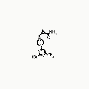 CC(C)(C)c1nc(N2CCN(CC3CC3C(N)=O)CC2)cc(C(F)(F)F)n1